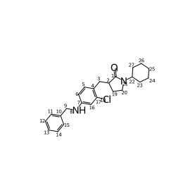 O=C1C(Cc2ccc(NCc3ccccc3)cc2Cl)CCN1C1CCCCC1